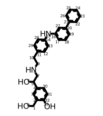 OCc1cc(C(O)CNCCc2ccc(Nc3cccc(-c4ccccc4)c3)cc2)ccc1O